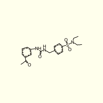 CCN(CC)S(=O)(=O)c1ccc(CNC(=O)Nc2cccc(C(C)=O)c2)cc1